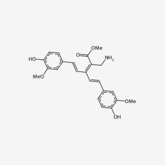 COC(=O)C(CN)=C(/C=C/c1ccc(O)c(OC)c1)/C=C/c1ccc(O)c(OC)c1